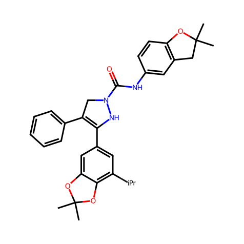 CC(C)c1cc(C2=C(c3ccccc3)CN(C(=O)Nc3ccc4c(c3)CC(C)(C)O4)N2)cc2c1OC(C)(C)O2